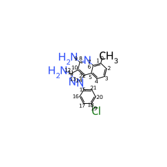 Cc1cccc2c1nc(N)c1c(N)nn(-c3ccc(Cl)cc3)c12